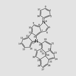 c1ccc(-n2ccc3c2ccc2c4ccccc4n(-c4ccc5ccc6cccc7ccc4c5c67)c23)cc1